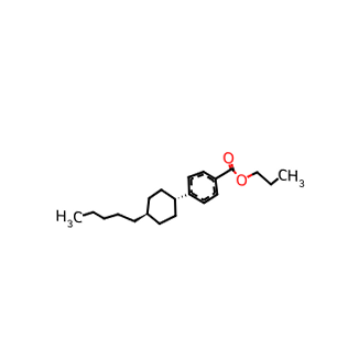 CCCCC[C@H]1CC[C@H](c2ccc(C(=O)OCCC)cc2)CC1